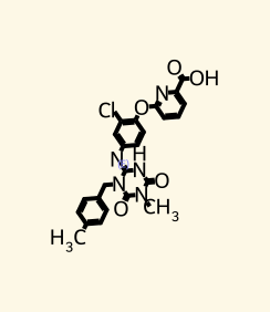 Cc1ccc(Cn2c(=O)n(C)c(=O)[nH]/c2=N\c2ccc(Oc3cccc(C(=O)O)n3)c(Cl)c2)cc1